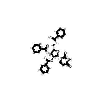 O=C(OC[C@@H]1O[C@H](n2ccc(=O)[nH]c2=O)[C@@H](OC(=O)c2ccccc2)[C@H]1OC(=O)c1ccccc1)c1ccccc1